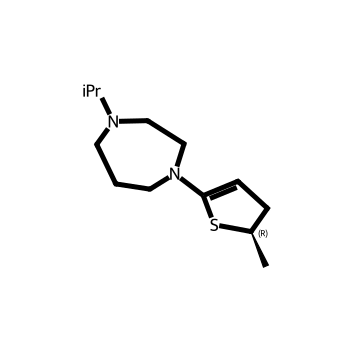 CC(C)N1CCCN(C2=CC[C@@H](C)S2)CC1